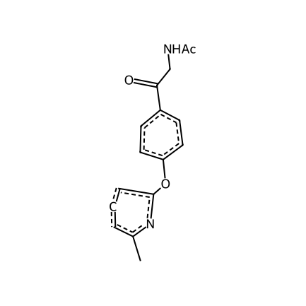 CC(=O)NCC(=O)c1ccc(Oc2cccc(C)n2)cc1